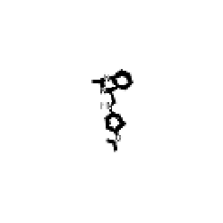 Cc1nc(CNc2ccc(OC(C)C)cc2)c2ccccc2n1